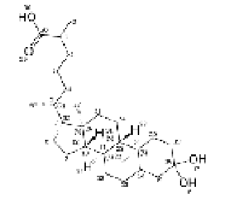 CC(CCC[C@@H](C)[C@H]1CC[C@H]2[C@@H]3CCC4CC(O)(O)CC[C@]4(C)[C@H]3CC[C@]12C)C(=O)O